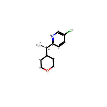 CC(C)(C)[C@H](c1ccc(Cl)cn1)C1CCOCC1